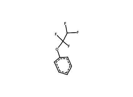 F[C](F)C(F)(F)Oc1ccccc1